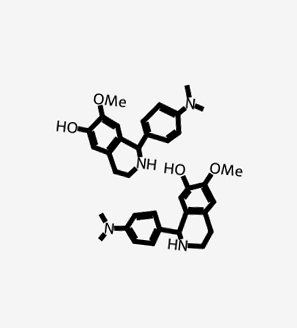 COc1cc2c(cc1O)C(c1ccc(N(C)C)cc1)NCC2.COc1cc2c(cc1O)CCNC2c1ccc(N(C)C)cc1